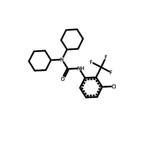 O=C(Nc1cccc(Cl)c1C(F)(F)F)N(C1CCCCC1)C1CCCCC1